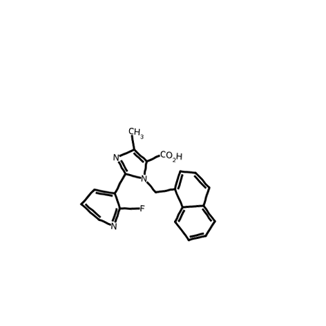 Cc1nc(-c2cccnc2F)n(Cc2cccc3ccccc23)c1C(=O)O